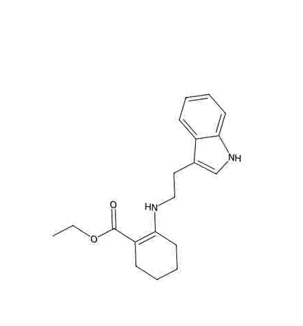 CCOC(=O)C1=C(NCCc2c[nH]c3ccccc23)CCCC1